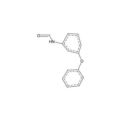 O=[C]Nc1cccc(Oc2ccccc2)c1